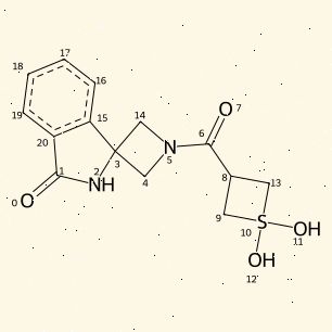 O=C1NC2(CN(C(=O)C3CS(O)(O)C3)C2)c2ccccc21